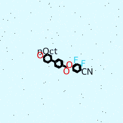 CCCCCCCCOC1CCC(c2ccc(C(=O)Oc3ccc(C#N)c(F)c3F)cc2)CC1